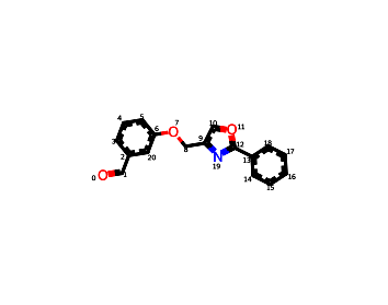 O=Cc1cccc(OCc2coc(-c3ccccc3)n2)c1